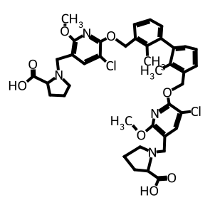 COc1nc(OCc2cccc(-c3cccc(COc4nc(OC)c(CN5CCCC5C(=O)O)cc4Cl)c3C)c2C)c(Cl)cc1CN1CCCC1C(=O)O